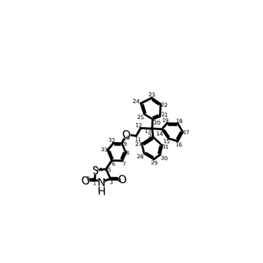 O=C1NC(=O)C(c2ccc(OCCC(c3ccccc3)(c3ccccc3)c3ccccc3)cc2)S1